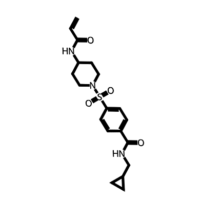 C=CC(=O)NC1CCN(S(=O)(=O)c2ccc(C(=O)NCC3CC3)cc2)CC1